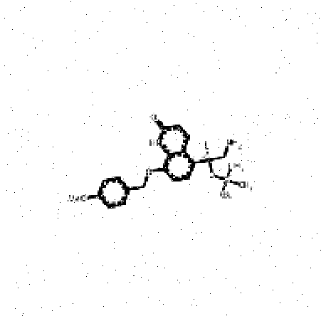 COc1ccc(COc2ccc([C@@](I)(CN)O[Si](C)(C)C(C)(C)C)c3ccc(=O)[nH]c23)cc1